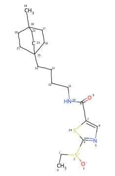 CC[S+]([O-])c1ncc(C(=O)NCCCCC23CCC(C)(CC2)CC3)s1